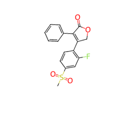 CS(=O)(=O)c1ccc(C2=C(c3ccccc3)C(=O)OC2)c(F)c1